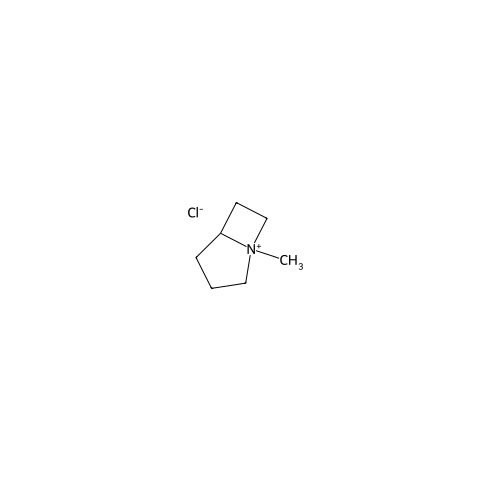 C[N+]12CCCC1CC2.[Cl-]